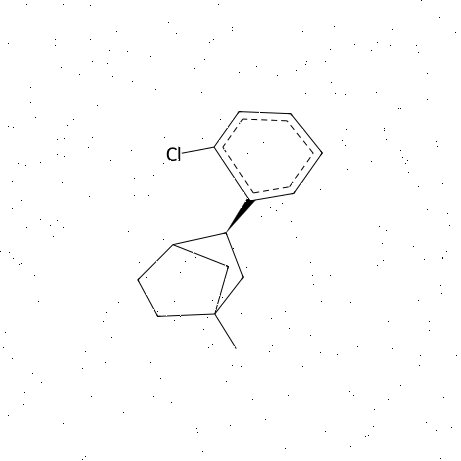 CC12CCC(C1)[C@@H](c1ccccc1Cl)C2